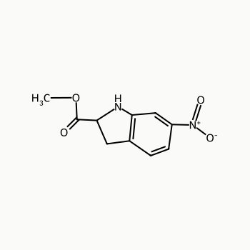 COC(=O)C1Cc2ccc([N+](=O)[O-])cc2N1